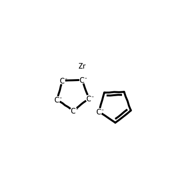 [Zr].[cH-]1[cH-][cH-][cH-][cH-]1.c1cc[cH-]c1